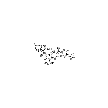 Nc1nn2cc(F)cnc2c1C(=O)Nc1cccc(F)c1N1CCC(C(=O)N2CCN(C3COC3)CC2)CC1